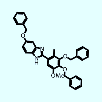 COc1cc(-c2nc3cc(OCc4ccccc4)ccc3[nH]2)c(C)c(OCc2ccccc2)c1OCc1ccccc1